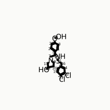 OOc1ccc(C(CN2CCC(O)C2)NSCc2ccc(Cl)c(Cl)c2)cc1